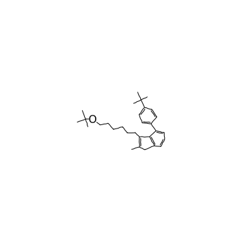 CC1=C(CCCCCCOC(C)(C)C)c2c(cccc2-c2ccc(C(C)(C)C)cc2)C1